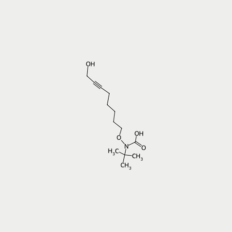 CC(C)(C)N(OCCCCCC#CCO)C(=O)O